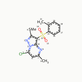 CSc1nn2c(Cl)cc(C)nc2c1S(=O)(=O)c1ccccc1C